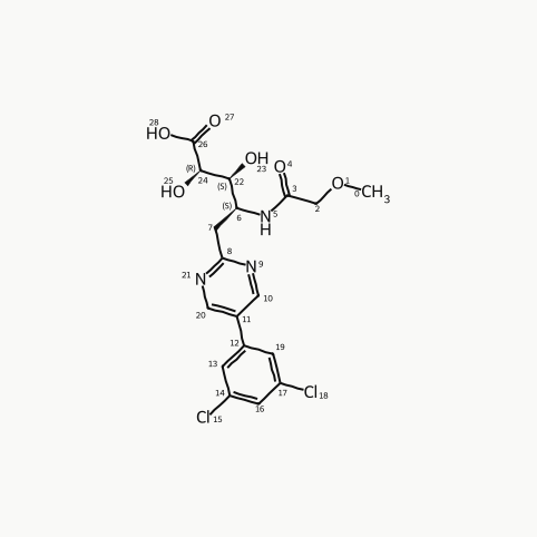 COCC(=O)N[C@@H](Cc1ncc(-c2cc(Cl)cc(Cl)c2)cn1)[C@H](O)[C@@H](O)C(=O)O